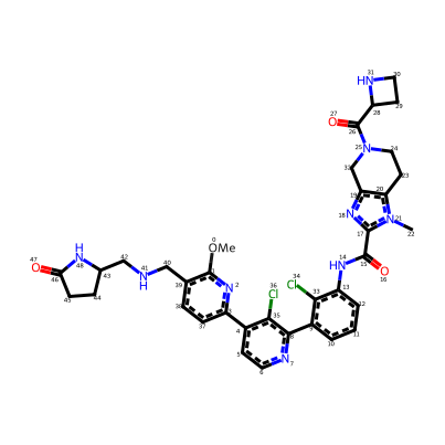 COc1nc(-c2ccnc(-c3cccc(NC(=O)c4nc5c(n4C)CCN(C(=O)C4CCN4)C5)c3Cl)c2Cl)ccc1CNCC1CCC(=O)N1